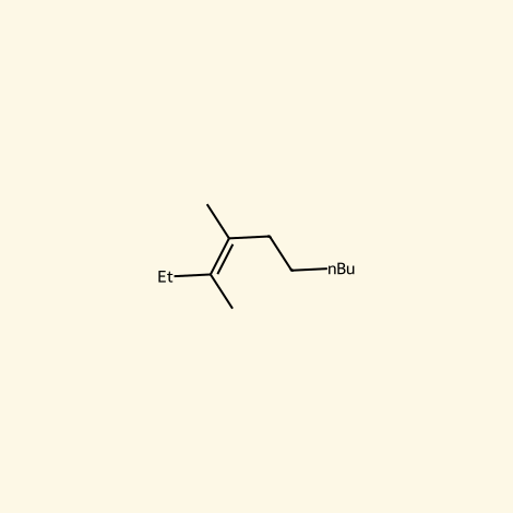 CCCCCCC(C)=C(C)CC